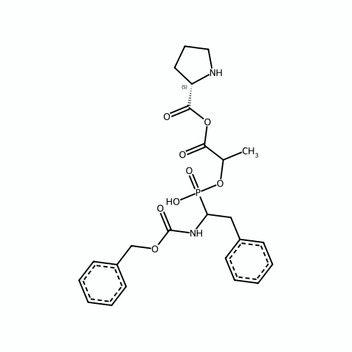 CC(OP(=O)(O)C(Cc1ccccc1)NC(=O)OCc1ccccc1)C(=O)OC(=O)[C@@H]1CCCN1